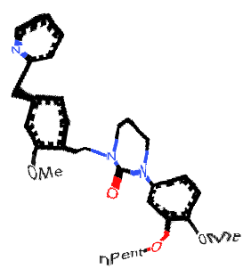 CCCCCOc1cc(N2CCCN(Cc3ccc(Cc4ccccn4)cc3OC)C2=O)ccc1OC